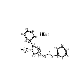 Br.Cc1sc(NCCc2ccccc2)nc1-c1ccccc1